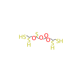 O=C(COCC(=S)OCC(S)CS)OCC(S)CS